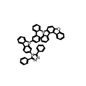 c1ccc(-c2nnc(-c3ccccc3)n2-c2ccc3c4ccccc4n(-c4cccc(-c5ccccc5-n5c6ccccc6c6c7c(ccc65)oc5ccccc57)c4)c3c2)cc1